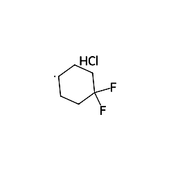 Cl.FC1(F)CC[CH]CC1